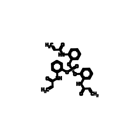 C=CC(=O)Nc1ccccc1OP(=O)(Oc1ccccc1NC(=O)C=C)Oc1ccccc1NC(=O)C=C